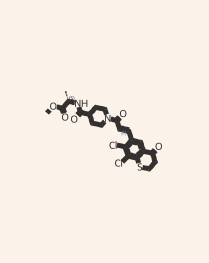 COC(=O)[C@H](C)NC(=O)C1CCN(C(=O)/C=C/c2cc3c(c(Cl)c2Cl)SCCC3=O)CC1